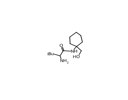 CCC(C)C(N)C(=O)NC1(CO)CCCCC1